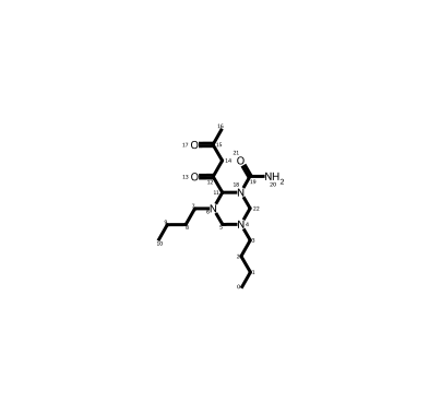 CCCCN1CN(CCCC)C(C(=O)CC(C)=O)N(C(N)=O)C1